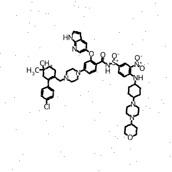 CC1(C)CCC(CN2CCN(c3ccc(C(=O)N[S+]([O-])c4ccc(NC5CCC(N6CCN(C7CCOCC7)CC6)CC5)c([N+](=O)[O-])c4)c(Oc4cnc5[nH]ccc5c4)c3)CC2)=C(c2ccc(Cl)cc2)C1